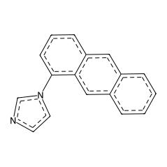 c1ccc2cc3c(-n4ccnc4)cccc3cc2c1